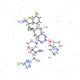 CC(C)[C@H]1N(C(=O)n2cnc(Cl)n2)C[C@@]12CN(c1nc(OC[C@@]34CCCN3C[C@H](F)C4)nc3c(F)c(-c4ccc(F)c5sc(N)c(C#N)c45)c(Cl)cc13)CCO2